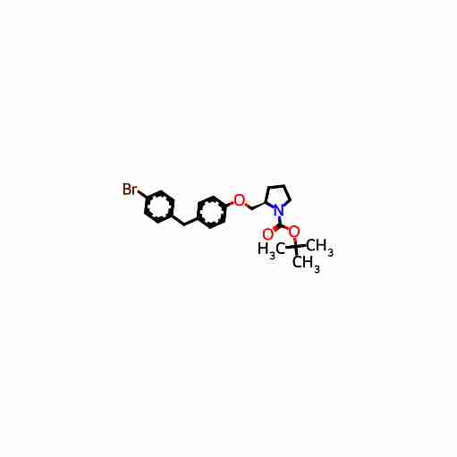 CC(C)(C)OC(=O)N1CCC[C@@H]1COc1ccc(Cc2ccc(Br)cc2)cc1